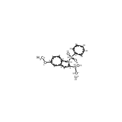 COc1ccc2c(c1)cc(S(=O)[O-])n2S(=O)(=O)c1ccccc1.[Li+]